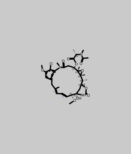 COc1cc2cc(c1Cl)N(C)C(=O)C[C@H](OC(=O)[C@H](C)N(C)C(C)=O)[C@]1(C)O[C@]1(C)[C@H](C)[C@@H]1C[C@@](O)(NC(=O)O1)[C@H](OC)/C=C/C=C(\C)C2